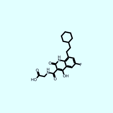 O=C(O)CNC(=O)c1c(O)c2cc(F)cc(CCC3CCCCC3)c2[nH]c1=O